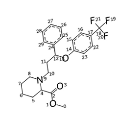 COC(=O)C1CCCCN1CCC(Oc1ccc(C(F)(F)F)cc1)c1ccccc1